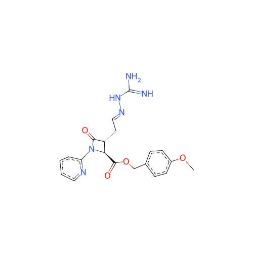 COc1ccc(COC(=O)[C@@H]2[C@@H](CC=NNC(=N)N)C(=O)N2c2ccccn2)cc1